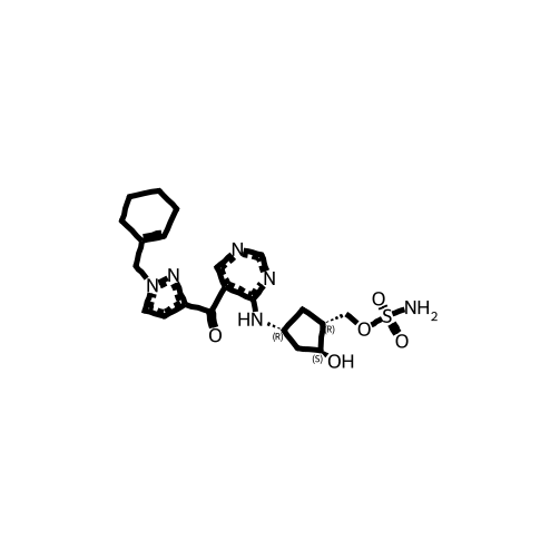 NS(=O)(=O)OC[C@H]1C[C@@H](Nc2ncncc2C(=O)c2ccn(CC3=CCCCC3)n2)C[C@@H]1O